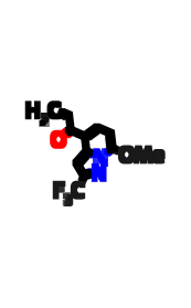 C=CC(=O)c1ccc(OC)n2nc(C(F)(F)F)cc12